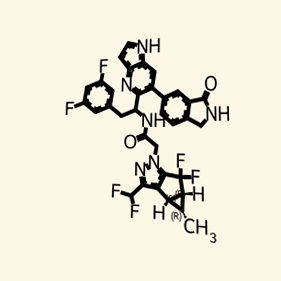 C[C@@H]1[C@@H]2c3c(C(F)F)nn(CC(=O)NC(Cc4cc(F)cc(F)c4)c4nc5cc[nH]c5cc4-c4ccc5c(c4)C(=O)NC5)c3C(F)(F)[C@H]12